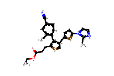 CCOC(=O)CCc1scc(-c2ccc(-n3ccnc3C)s2)c1-c1ccc(C#N)cc1C